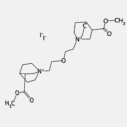 COC(=O)C1C[N+]2(CCOCC[N+]34CCC(CC3)C(C(=O)OC)C4)CCC1CC2.[I-].[I-]